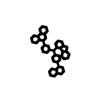 c1cc(-c2cc3ccccc3c3ccccc23)cc(N(c2ccc(-c3cccc4ccccc34)cc2)c2cccc3sc4ccccc4c23)c1